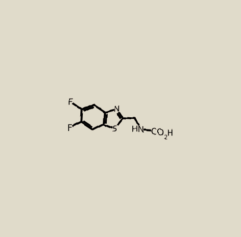 O=C(O)NCc1nc2cc(F)c(F)cc2s1